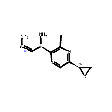 Cc1nc([C@H]2CO2)cnc1N(N)/C=N\N